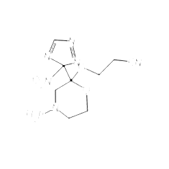 N#CCCOC1(C2([N+](=O)[O-])N=CN=N2)CN(P)CCO1